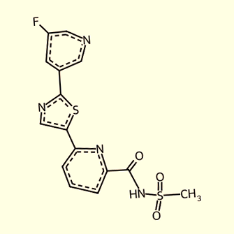 CS(=O)(=O)NC(=O)c1cccc(-c2cnc(-c3cncc(F)c3)s2)n1